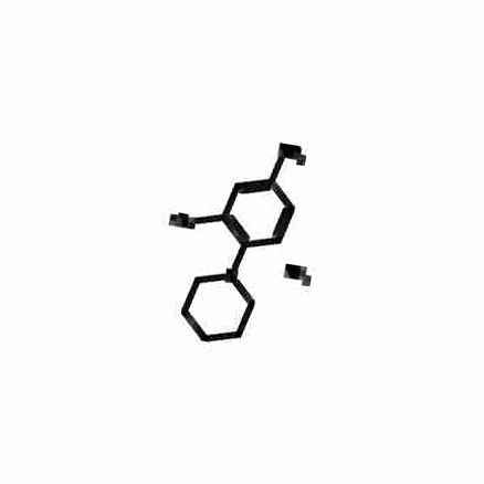 CCCCc1cc([N+](=O)[O-])ccc1N1CCCCC1.N